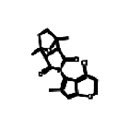 Cc1cc2occc(Cl)c-2c1N1C(=O)C2C(C1=O)C1(C)CCC2(C)O1